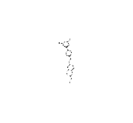 CCCC1CCC2CC(CCc3ccc(-c4cc(F)cc(F)c4)cc3)CCC2C1